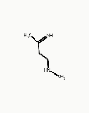 CNCCC(C)=N